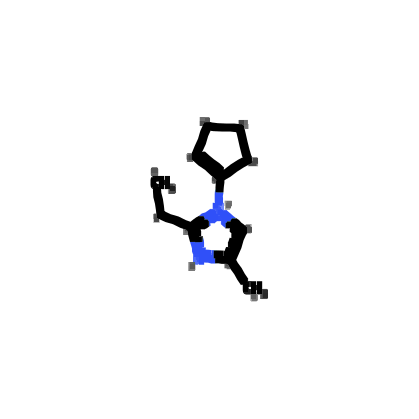 CCc1nc(C)cn1C1=CCCC1